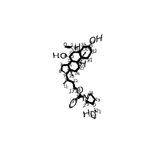 CC[C@H]1[C@@H](O)C2C3CC[C@H]([C@H](C)CCOC(=O)N4CC[C@H](CO)C4)[C@@]3(C)CC[C@@H]2[C@@]2(C)CC[C@@H](O)C[C@@H]12